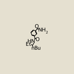 CCCCC(CC)CNC(=O)c1cccc(C(N)=O)c1